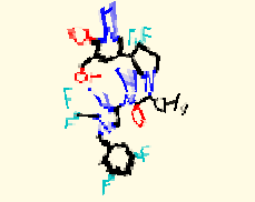 C[C@@H](C(=O)Nc1cn(Cc2cc(F)cc(F)c2)c(C(F)F)n1)N1CCC(F)(F)C(c2c[nH]c(=O)c(CO)c2)C1